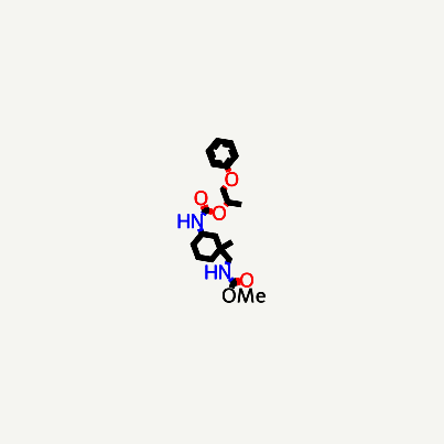 COC(=O)NCC1(C)CCCC(NC(=O)OC(C)COc2ccccc2)C1